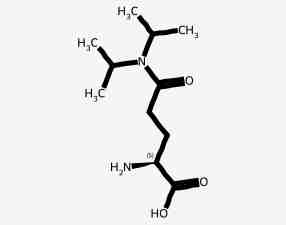 CC(C)N(C(=O)CC[C@H](N)C(=O)O)C(C)C